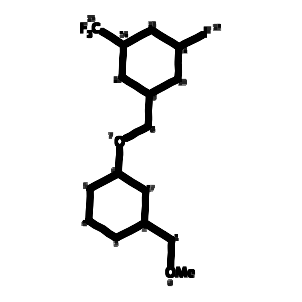 COCC1CCCC(OCC2CC(F)CC(C(F)(F)F)C2)C1